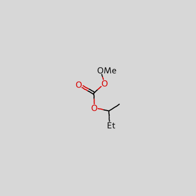 CCC(C)OC(=O)OOC